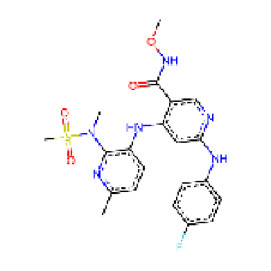 CONC(=O)c1cnc(Nc2ccc(F)cc2)cc1Nc1ccc(C)nc1N(C)S(C)(=O)=O